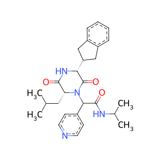 CC(C)C[C@@H]1C(=O)N[C@H](C2Cc3ccccc3C2)C(=O)N1C(C(=O)NC(C)C)c1ccncc1